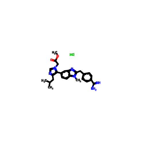 COC(=O)Cn1cnc(CC(C)C)c1-c1ccc2c(c1)nc(Cc1ccc(C(=N)N)cc1)n2C.Cl